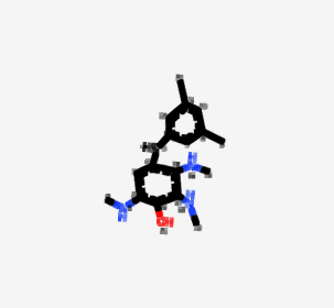 CNc1cc([SiH]c2cc(C)cc(C)c2)c(NC)c(NC)c1O